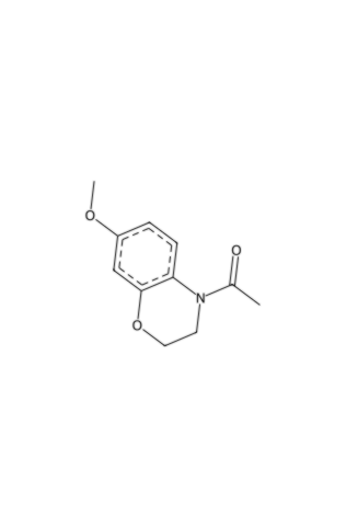 COc1ccc2c(c1)OCCN2C(C)=O